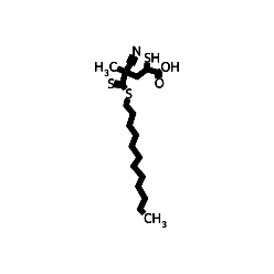 CCCCCCCCCCCCSC(=S)C(C)(C#N)CC(S)C(=O)O